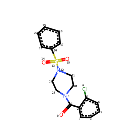 O=C(c1ccccc1Cl)N1CCN(S(=O)(=O)c2ccccc2)CC1